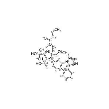 CCOC(=O)OCN1C(C(C)(C)O)=C(C(=O)O)N(c2ccc(-c3ccccc3-c3nnn[nH]3)cc2)C1(C)COC